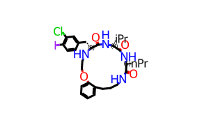 CCC[C@@H]1NC(=O)[C@@H](C(C)C)NC(=O)[C@@H](Cc2ccc(I)c(Cl)c2)NCCOc2ccccc2CCCNC1=O